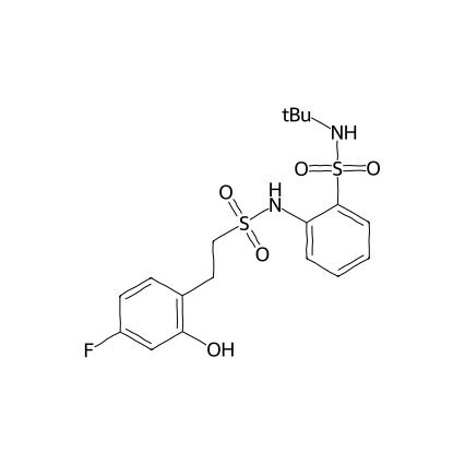 CC(C)(C)NS(=O)(=O)c1ccccc1NS(=O)(=O)CCc1ccc(F)cc1O